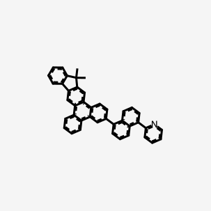 CC1(C)c2ccccc2-c2cc3c4ccccc4c4cc(-c5cccc6c(-c7ccccn7)cccc56)ccc4c3cc21